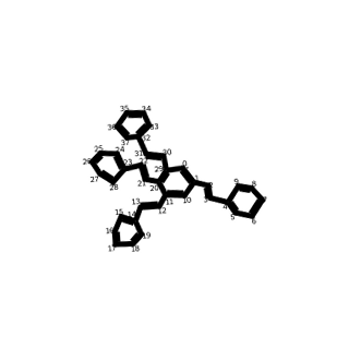 [c]1c(/C=C/c2ccccc2)cc(/C=C/c2ccccc2)c(/C=C/c2ccccc2)c1/C=C/c1ccccc1